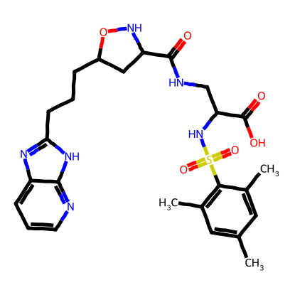 Cc1cc(C)c(S(=O)(=O)NC(CNC(=O)C2CC(CCCc3nc4cccnc4[nH]3)ON2)C(=O)O)c(C)c1